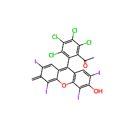 C=c1c(I)cc2c(c1I)Oc1c(cc(I)c(O)c1I)C=2c1c(Cl)c(Cl)c(Cl)c(Cl)c1C(C)=O